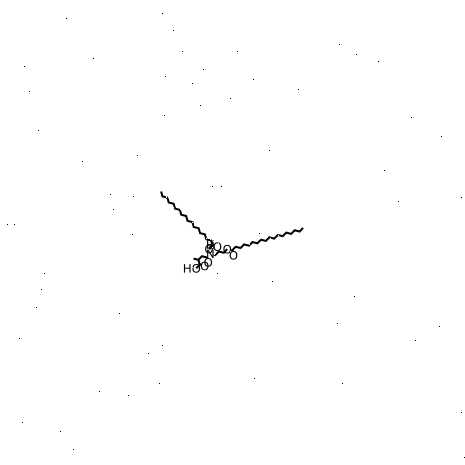 CCCCCCCCCCCCCCCCCC(=O)OCC(CNC(=O)CC(C)C(=O)O)OC(=O)CCCCCCCCCCCCCCCCC